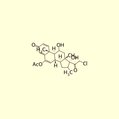 CC(=O)OC1=C[C@@H]2[C@H](C(O)C[C@@]3(C)[C@H]2CC(C)[C@]3(O)C(=O)CCl)[C@@]2(C)C=CC(=O)C=C12